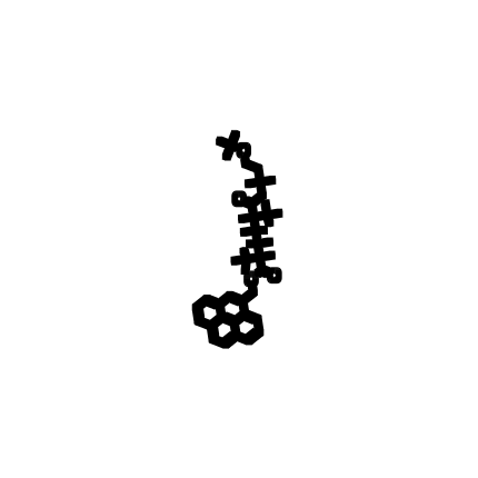 CC(C)(CCOC(C)(C)C)CC(=O)C(C)(C(C)(C)C)C(C)(C)C(C)(C)C(C)(C(=O)OCc1cc2cccc3ccc4cccc1c4c32)C(C)(C)C